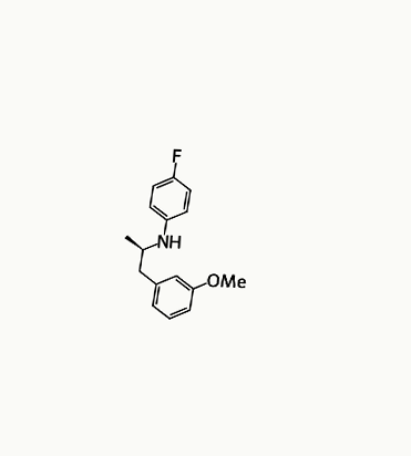 COc1cccc(C[C@@H](C)Nc2ccc(F)cc2)c1